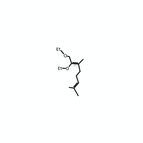 CCOC/C(OCC)=C(\C)CCC=C(C)C